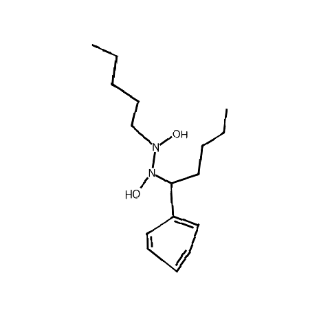 CCCCCN(O)N(O)C(CCCC)c1ccccc1